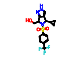 O=S(=O)(c1ccc(C(F)(F)F)cc1)N1C(CO)c2n[nH]cc2C1C1CC1